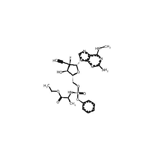 C#C[C@@]1(F)[C@H](O)[C@@H](CO[P@@](=O)(NC(C)C(=O)OCC)Oc2ccccc2)O[C@H]1n1cnc2c(NC)nc(N)nc21